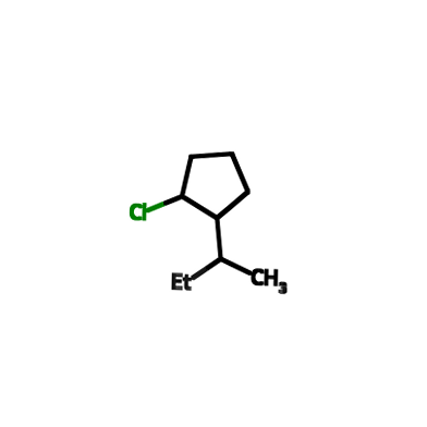 CCC(C)C1CCCC1Cl